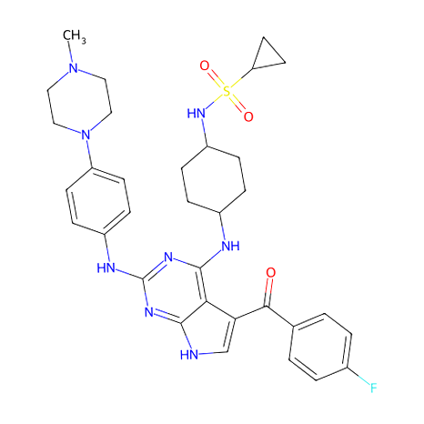 CN1CCN(c2ccc(Nc3nc(NC4CCC(NS(=O)(=O)C5CC5)CC4)c4c(C(=O)c5ccc(F)cc5)c[nH]c4n3)cc2)CC1